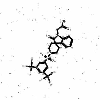 O=C(O)CN1C(=O)C2(CCN(S(=O)(=O)c3cc(C(F)(F)F)cc(C(F)(F)F)c3)CC2)c2ccccc21